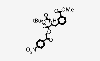 COC(=O)c1cccc(CC(NC(=O)OC(C)(C)C)C(=O)OCC(=O)c2ccc([N+](=O)[O-])cc2)c1